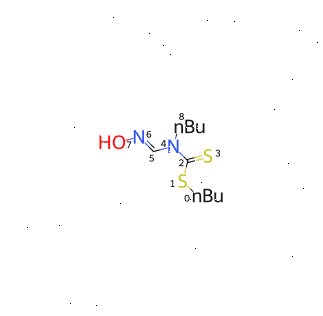 CCCCSC(=S)N(C=NO)CCCC